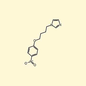 O=[N+]([O-])c1ccc(OCCCCn2ccnc2)cc1